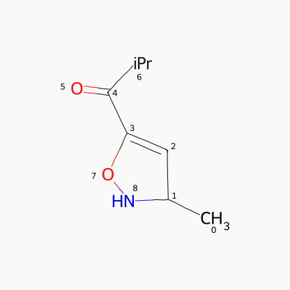 CC1C=C(C(=O)C(C)C)ON1